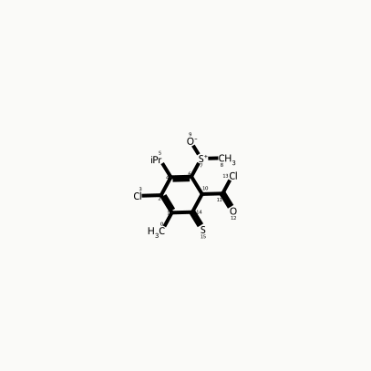 CC1=C(Cl)C(C(C)C)=C([S+](C)[O-])C(C(=O)Cl)C1=S